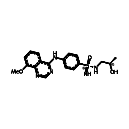 COc1cccc2c(Nc3ccc([S@](=N)(=O)NC[C@@H](C)O)cc3)ncnc12